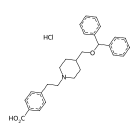 Cl.O=C(O)c1ccc(CCN2CCC(COC(c3ccccc3)c3ccccc3)CC2)cc1